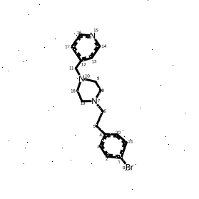 Brc1ccc(CCN2CCN(Cc3ccncc3)CC2)cc1